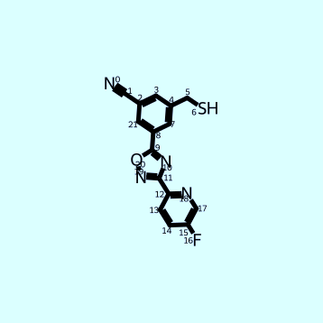 N#Cc1cc(CS)cc(-c2nc(-c3ccc(F)cn3)no2)c1